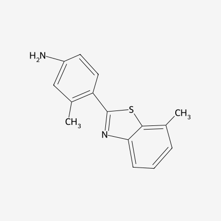 Cc1cc(N)ccc1-c1nc2cccc(C)c2s1